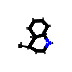 [Li][c]1ccnc2ccccc12